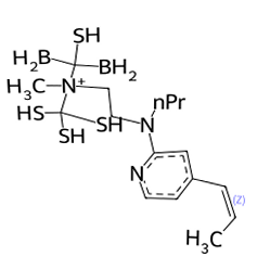 BC(B)(S)[N+](C)(CCN(CCC)c1cc(/C=C\C)ccn1)C(S)(S)S